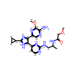 COCC(=O)NC(C)CNc1nccc(-c2[nH]c(C3CC3)nc2-c2cnc(N)c(OC)n2)n1